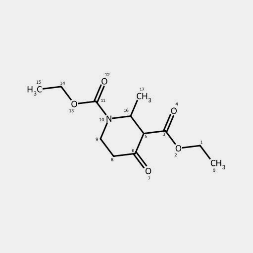 CCOC(=O)C1C(=O)CCN(C(=O)OCC)C1C